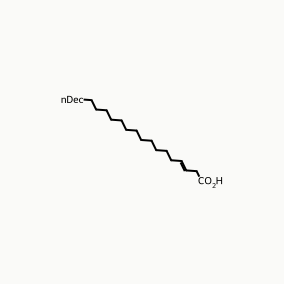 CCCCCCCCCCCCCCCCCCCCCCC=CCC(=O)O